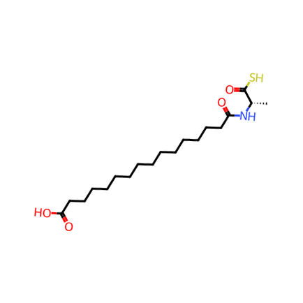 C[C@H](NC(=O)CCCCCCCCCCCCCCC(=O)O)C(=O)S